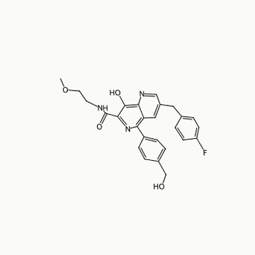 COCCNC(=O)c1nc(-c2ccc(CO)cc2)c2cc(Cc3ccc(F)cc3)cnc2c1O